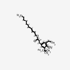 CCCCCCCCCCCOC(=O)CCc1cc(CC)c(O)c(C(C)(C)C)c1